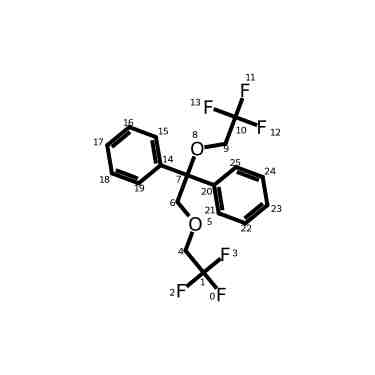 FC(F)(F)COCC(OCC(F)(F)F)(c1ccccc1)c1ccccc1